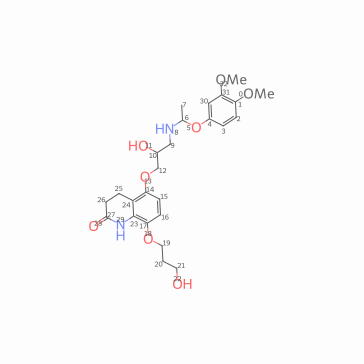 COc1ccc(OC(C)NCC(O)COc2ccc(OCCCO)c3c2CCC(=O)N3)cc1OC